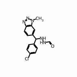 Cn1nnc2ccc(C(NNC=O)c3ccc(Cl)cc3)cc21